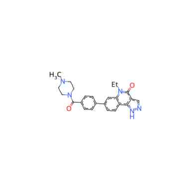 CCn1c(=O)c2cn[nH]c2c2ccc(-c3ccc(C(=O)N4CCN(C)CC4)cc3)cc21